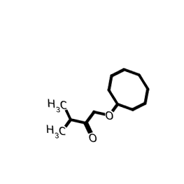 CC(C)C(=O)COC1CCCCCCC1